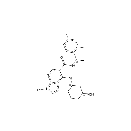 CCn1ncc2c(N[C@H]3CCC[C@H](O)C3)c(C(=O)N[C@H](C)c3ccc(C)cc3C)cnc21